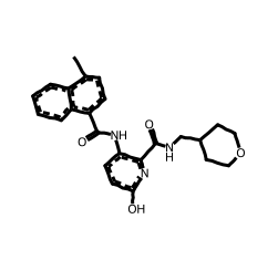 Cc1ccc(C(=O)Nc2ccc(O)nc2C(=O)NCC2CCOCC2)c2ccccc12